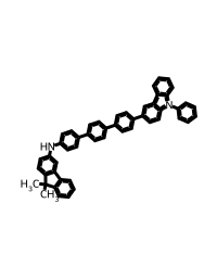 CC1(C)c2ccccc2-c2cc(Nc3ccc(-c4ccc(-c5ccc(-c6ccc7c(c6)c6ccccc6n7-c6ccccc6)cc5)cc4)cc3)ccc21